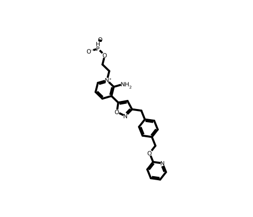 Nc1c(-c2cc(Cc3ccc(COc4ccccn4)cc3)no2)ccc[n+]1CCO[PH](=O)[O-]